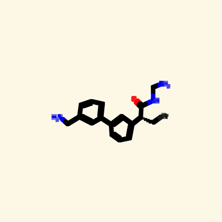 CC(C)C[C@@H](C(=O)NCN)c1cccc(-c2cccc(CN)c2)c1